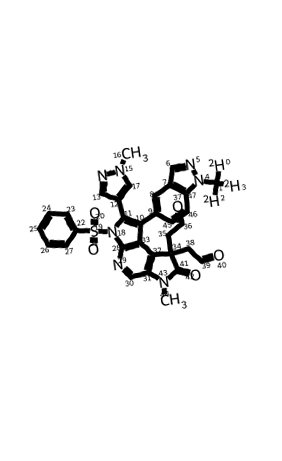 [2H]C([2H])([2H])n1ncc2cc(-c3c(-c4cnn(C)c4)n(S(=O)(=O)c4ccccc4)c4ncc5c(c34)C(CC=O)(CC=O)C(=O)N5C)ccc21